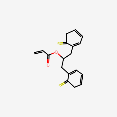 C=CC(=O)OC(CC1=CC=CCC1=S)CC1=CC=CCC1=S